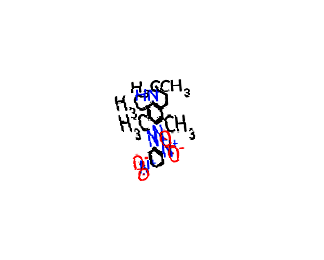 Cc1c(C)c2c(c(C)c1/N=N/c1cc([N+](=O)[O-])ccc1[N+](=O)[O-])CCC(C)(C)N2